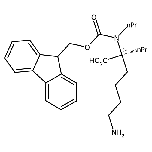 CCCN(C(=O)OCC1c2ccccc2-c2ccccc21)[C@@](CCC)(CCCCN)C(=O)O